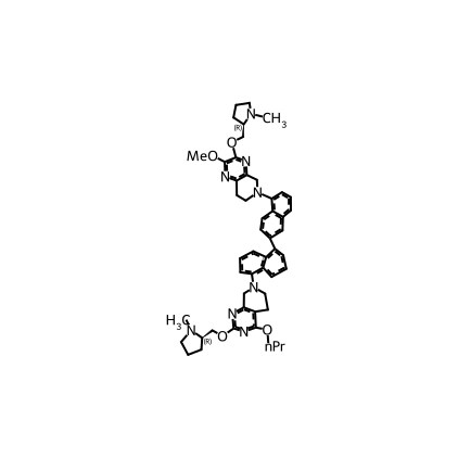 CCCOc1nc(OC[C@H]2CCCN2C)nc2c1CCN(c1cccc3c(-c4ccc5c(N6CCc7nc(OC)c(OC[C@H]8CCCN8C)nc7C6)cccc5c4)cccc13)C2